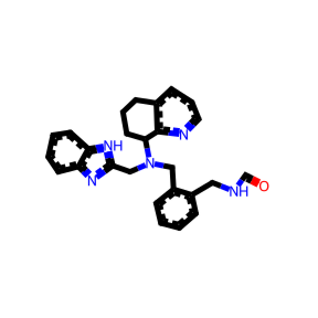 O=CNCc1ccccc1CN(Cc1nc2ccccc2[nH]1)C1CCCc2cccnc21